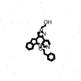 OCCn1cc(C2Cc3ccccc3C2=NOCCc2ccccc2)c(-c2ccncc2)n1